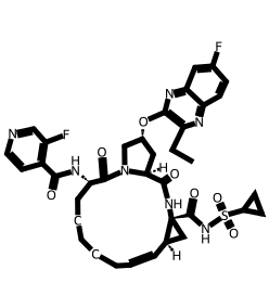 CCc1nc2ccc(F)cc2nc1O[C@@H]1C[C@H]2C(=O)N[C@]3(C(=O)NS(=O)(=O)C4CC4)C[C@H]3C=CCCCCC[C@H](NC(=O)c3ccncc3F)C(=O)N2C1